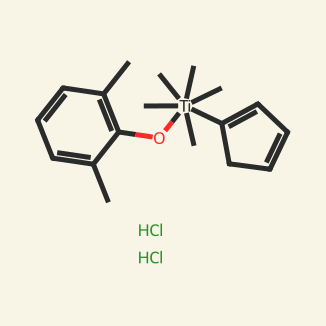 Cc1cccc(C)c1[O][Ti]([CH3])([CH3])([CH3])([CH3])([CH3])[C]1=CC=CC1.Cl.Cl